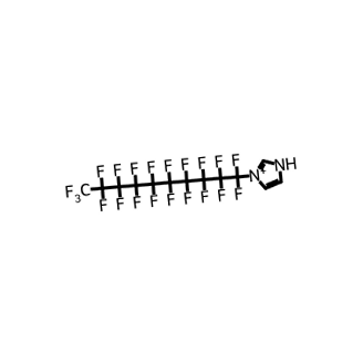 FC(F)(F)C(F)(F)C(F)(F)C(F)(F)C(F)(F)C(F)(F)C(F)(F)C(F)(F)C(F)(F)C(F)(F)[n+]1cc[nH]c1